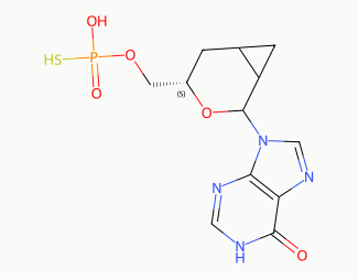 O=c1[nH]cnc2c1ncn2C1O[C@H](COP(=O)(O)S)CC2CC21